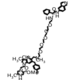 COC[C@H]1CN[C@H](C)CN1CC(=O)N1CC(C)(C)c2nc(CN(C)CCOCCOCCOCCOCCOCCNC[C@@H](C(=O)Nc3ccc4cnccc4c3)c3ccccc3)c(Cc3ccc(F)cc3)cc21